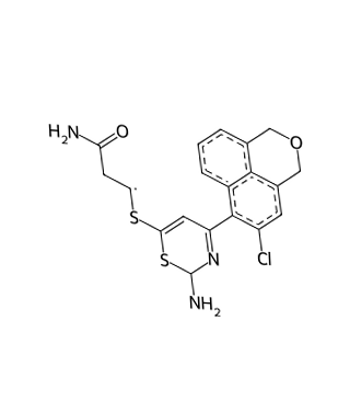 NC(=O)C[CH]SC1=CC(c2c(Cl)cc3c4c(cccc24)COC3)=NC(N)S1